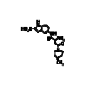 CN1CCN(C(=O)C[C@H](N)C(=O)Nc2ccc3[nH]c(C(=O)O)cc3c2)CC1